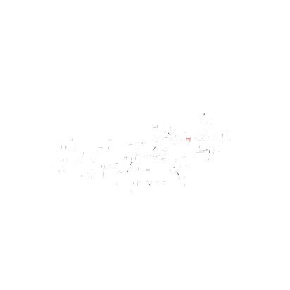 C[C@H]1CC(=O)C[C@@H]2CC[C@H]3[C@@H]4CC[C@H](O[Si](C)(C)C)[C@@]4(C)CC[C@@H]3[C@]21CO[Si](C)(C)C